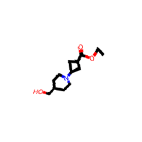 CCOC(=O)C1CC(N2CCC(CO)CC2)C1